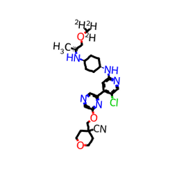 [2H]C([2H])([2H])OC[C@H](C)N[C@H]1CC[C@H](Nc2cc(-c3cncc(OCC4(C#N)CCOCC4)n3)c(Cl)cn2)CC1